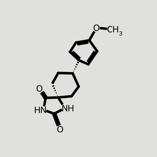 COc1ccc([C@H]2CC[C@]3(CC2)NC(=O)NC3=O)cc1